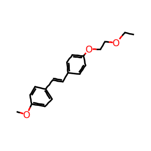 CCOCCOc1ccc(C=Cc2ccc(OC)cc2)cc1